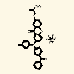 COC(=O)COc1ccc2sc3ccc([S+](c4ccc(C)cc4)c4ccc(C(=O)c5ccccc5)cc4)cc3c(=O)c2c1.F[P-](F)(F)(F)(F)F